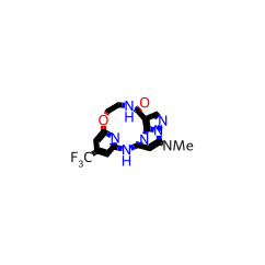 CNc1cc2nc3c(cnn13)C(=O)NCCOc1cc(C(F)(F)F)cc(n1)N2